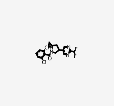 O=C(NCC(CC1CC1)c1cnc(C(F)F)nc1)c1c(Cl)cccc1Cl